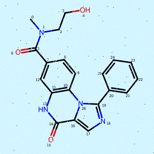 CN(CCO)C(=O)c1ccc2c(c1)[nH]c(=O)c1cnc(-c3ccccc3)n12